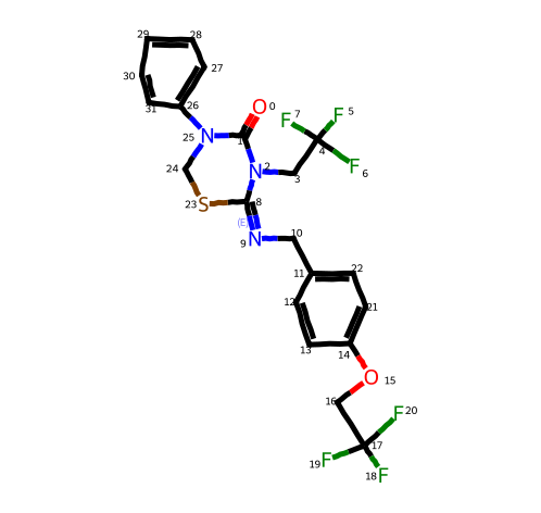 O=C1N(CC(F)(F)F)/C(=N\Cc2ccc(OCC(F)(F)F)cc2)SCN1c1ccccc1